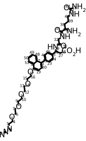 [N-]=[N+]=NCCOCCOCCOCCOCCOc1ccc(-c2ccc(C(CC(=O)O)NC(=O)CNC(=O)C(N)CCCNC(N)=O)cc2)c2ccccc12